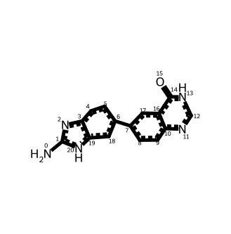 Nc1nc2ccc(-c3ccc4nc[nH]c(=O)c4c3)cc2[nH]1